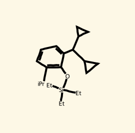 CC[Si](CC)(CC)Oc1c(C(C)C)cccc1C(C1CC1)C1CC1